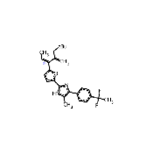 C=C(CC(C)(C)C)/C(=C\C)c1ccc(-c2nc(-c3ccc(C(C)(F)F)cc3)c(C)[nH]2)o1